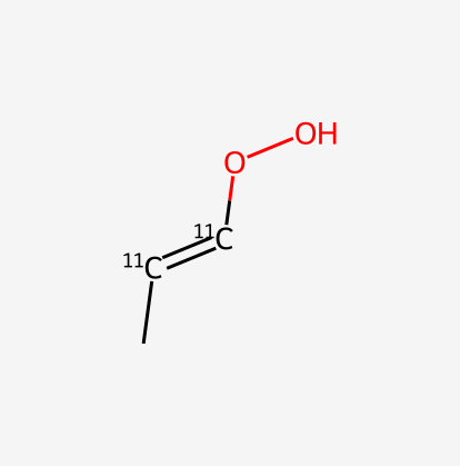 C/[11CH]=[11CH]/OO